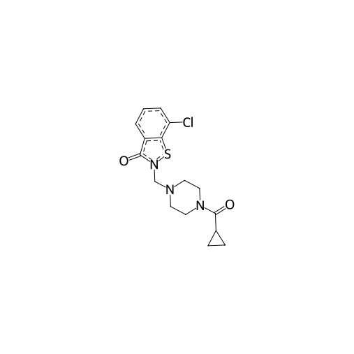 O=C(C1CC1)N1CCN(Cn2sc3c(Cl)cccc3c2=O)CC1